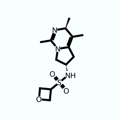 CC1=N[C@@H](C)C(C)=C2C[C@H](NS(=O)(=O)C3COC3)CN12